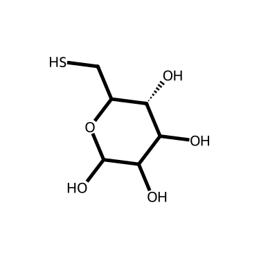 OC1OC(CS)[C@H](O)C(O)C1O